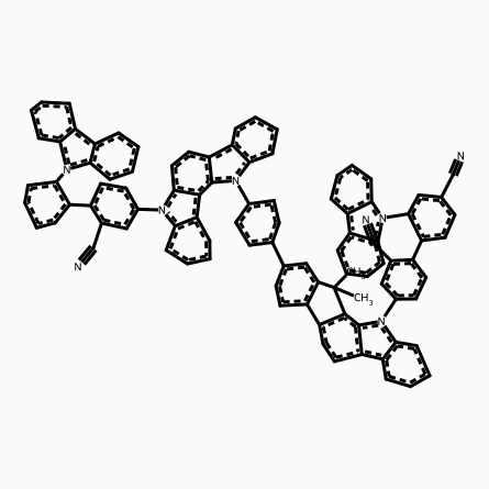 CC1(C)c2cc(-c3ccc(-n4c5ccccc5c5ccc6c(c7ccccc7n6-c6ccc(-c7ccccc7-n7c8ccccc8c8ccccc87)c(C#N)c6)c54)cc3)ccc2-c2ccc3c4ccccc4n(-c4ccc(-c5ccc(C#N)cc5-n5c6ccccc6c6ccccc65)c(C#N)c4)c3c21